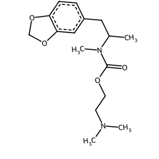 CC(Cc1ccc2c(c1)OCO2)N(C)C(=O)OCCN(C)C